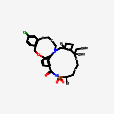 CC[C@@H]1CCCC[C@](COC)(OC)[C@@H]2CC[C@H]2CN2CCCCc3cc(Cl)ccc3COc3ccc(cc32)C(=O)NS1(=O)=O